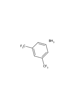 B.FC(F)(F)c1cccc(C(F)(F)F)c1